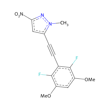 COc1cc(OC)c(F)c(C#Cc2cc([N+](=O)[O-])nn2C)c1F